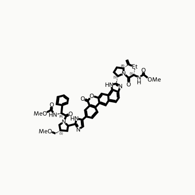 C=C(CC)[C@H]1CC[C@@H](c2nc3ccc4cc5c(cc4c3[nH]2)oc(=O)c2cc(-c3cnc(C4C[C@H](COC)CN4C(=O)[C@H](NC(=O)OC)c4ccccc4)[nH]3)ccc25)N1C(=O)[C@H](C)NC(=O)OC